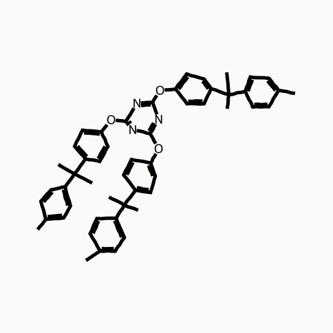 Cc1ccc(C(C)(C)c2ccc(Oc3nc(Oc4ccc(C(C)(C)c5ccc(C)cc5)cc4)nc(Oc4ccc(C(C)(C)c5ccc(C)cc5)cc4)n3)cc2)cc1